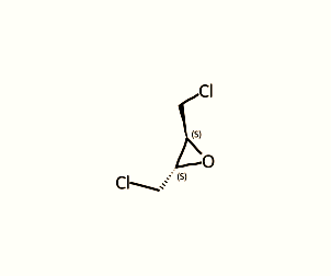 ClC[C@H]1O[C@@H]1CCl